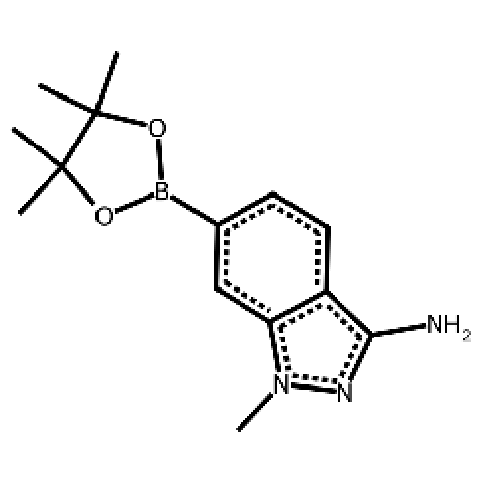 Cn1nc(N)c2ccc(B3OC(C)(C)C(C)(C)O3)cc21